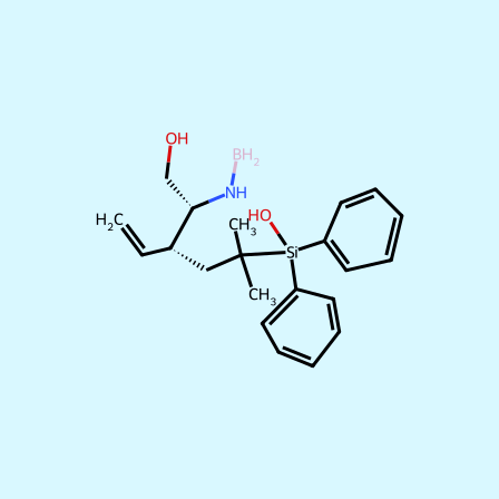 BN[C@@H](CO)[C@@H](C=C)CC(C)(C)[Si](O)(c1ccccc1)c1ccccc1